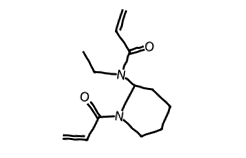 C=CC(=O)N(CC)C1CCCCN1C(=O)C=C